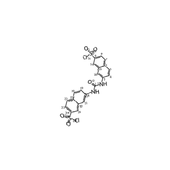 O=C(Nc1ccc2ccc(S(=O)(=O)Cl)cc2c1)Nc1ccc2ccc(S(=O)(=O)Cl)cc2c1